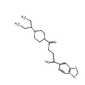 CCC(CC)N1CCN(C(=O)CCC(O)c2ccc3c(c2)OCO3)CC1